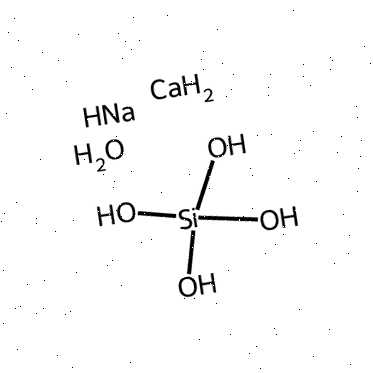 O.O[Si](O)(O)O.[CaH2].[NaH]